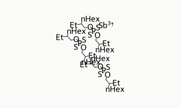 CCCCCCC(CC)COP(=S)([S-])OCC(CC)CCCCCC.CCCCCCC(CC)COP(=S)([S-])OCC(CC)CCCCCC.CCCCCCC(CC)COP(=S)([S-])OCC(CC)CCCCCC.[Sb+3]